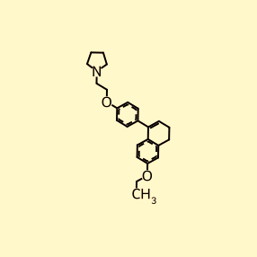 CCOc1ccc2c(c1)CCC=C2c1ccc(OCCN2CCCC2)cc1